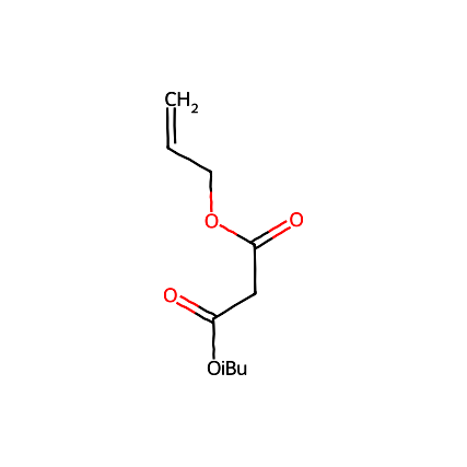 C=CCOC(=O)CC(=O)OCC(C)C